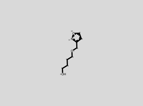 OCCCCOCc1ccon1